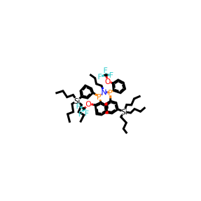 CCCCN(P(c1cccc([Si](CCCC)(CCCC)CCCC)c1)c1ccccc1OC(F)(F)F)P(c1cccc([Si](CCCC)(CCCC)CCCC)c1)c1ccccc1OC(F)(F)F